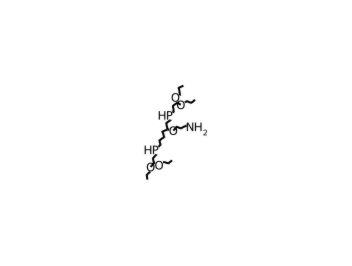 CCCOC(CCPCCCCC(CCPCCC(OCCC)OCCC)OCCCN)OCCC